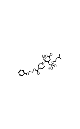 CC(C)CCOP(=O)(O)CC(CC(=O)O)C(=O)N1CCN(C(=O)OCCOc2ccccc2)CC1